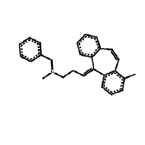 Cc1cccc2c1C=Cc1ccccc1C2=CCCN(C)Cc1ccccc1